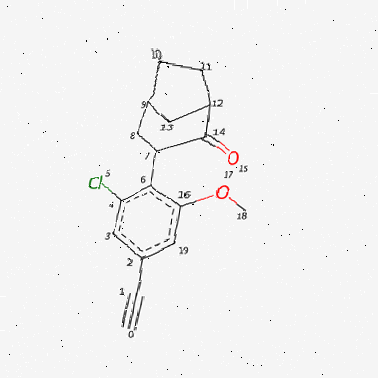 C#Cc1cc(Cl)c(C2CC3CCC(C3)C2=O)c(OC)c1